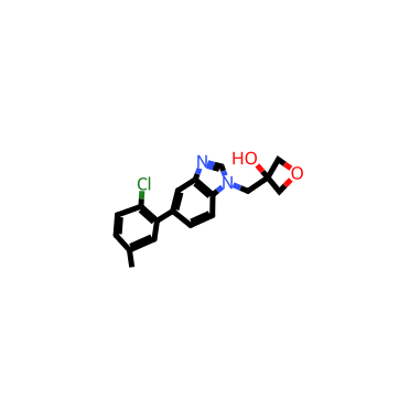 Cc1ccc(Cl)c(-c2ccc3c(c2)ncn3CC2(O)COC2)c1